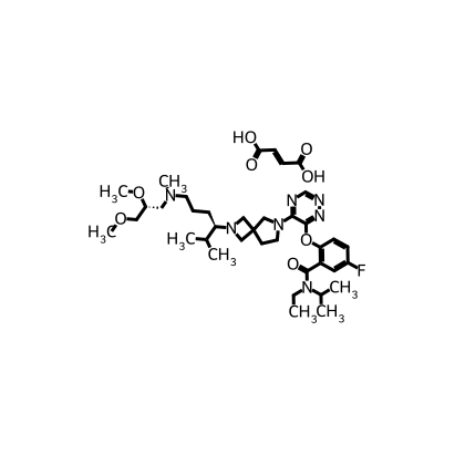 CCN(C(=O)c1cc(F)ccc1Oc1nncnc1N1CCC2(C1)CN([C@H](CCCN(C)C[C@H](COC)OC)C(C)C)C2)C(C)C.O=C(O)/C=C/C(=O)O